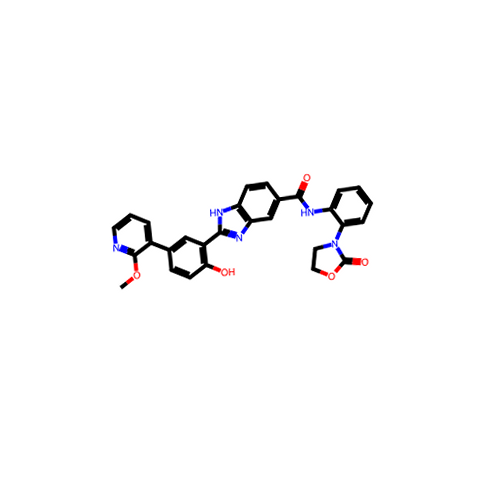 COc1ncccc1-c1ccc(O)c(-c2nc3cc(C(=O)Nc4ccccc4N4CCOC4=O)ccc3[nH]2)c1